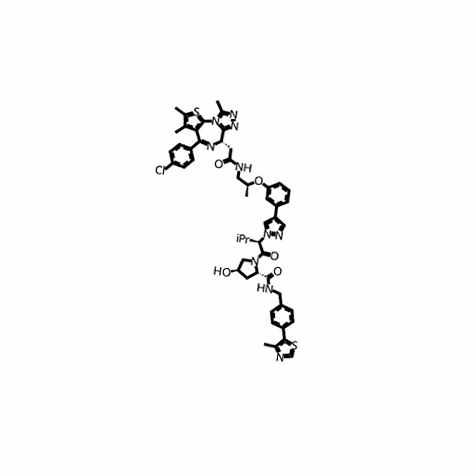 Cc1ncsc1-c1ccc(CNC(=O)[C@@H]2C[C@@H](O)CN2C(=O)[C@@H](C(C)C)n2cc(-c3cccc(O[C@@H](C)CNC(=O)C[C@@H]4N=C(c5ccc(Cl)cc5)c5c(sc(C)c5C)-n5c(C)nnc54)c3)cn2)cc1